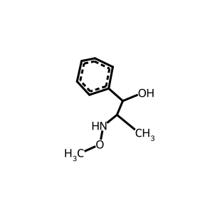 CONC(C)C(O)c1ccccc1